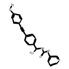 CCOc1ccc(C#Cc2ccc(C(C)NC(=O)Nc3cccnc3)cc2)cc1